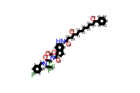 C[C@H](N(Cc1ccc(F)cc1)C(=O)CN1C(=O)O[C@@]2(CCc3cc(NC(=O)CCC(=O)CCCCCCCC(=O)c4ccccc4)ccc32)C1=O)C(F)(F)F